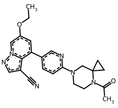 CCOc1cc(-c2ccc(N3CCN(C(C)=O)C4(CC4)C3)nc2)c2c(C#N)cnn2c1